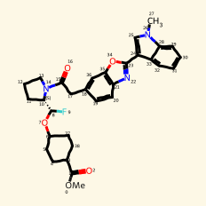 COC(=O)C1CCC(OC(F)[C@@H]2CCCN2C(=O)Cc2ccc3nc(-c4cn(C)c5ccccc45)oc3c2)CC1